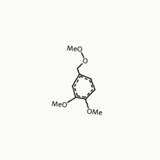 COOCc1ccc(OC)c(OC)c1